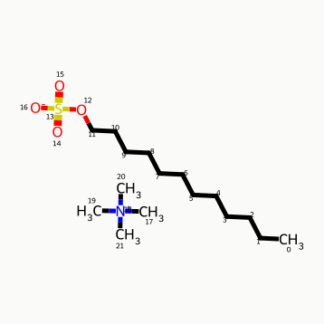 CCCCCCCCCCCCOS(=O)(=O)[O-].C[N+](C)(C)C